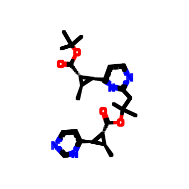 C[C@@H]1[C@@H](C(=O)OC(C)(C)Cc2nccc([C@H]3[C@@H](C)[C@@H]3C(=O)OC(C)(C)C)n2)[C@@H]1c1ccncn1